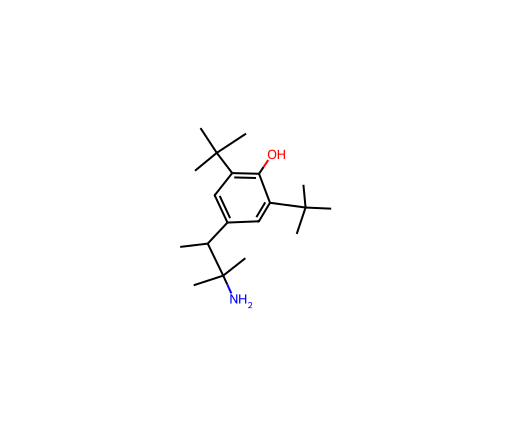 CC(c1cc(C(C)(C)C)c(O)c(C(C)(C)C)c1)C(C)(C)N